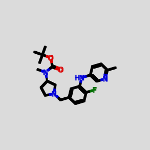 Cc1ccc(Nc2cc(CN3CC[C@@H](N(C)C(=O)OC(C)(C)C)C3)ccc2F)cn1